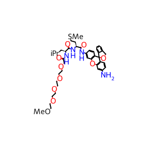 COCCOCCOCCOCCOCC(=O)N[C@@H](CC(C)C)C(=O)N[C@@H](CCSC)C(=O)Nc1ccc2c(c1)Oc1cc(N)ccc1C21OCc2ccccc21